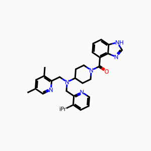 Cc1cnc(CN(Cc2ncccc2C(C)C)C2CCN(C(=O)c3cccc4[nH]cnc34)CC2)c(C)c1